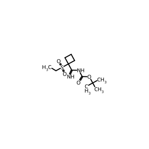 CCS(=O)(=O)C1(C(=N)NC(=O)OC(C)(C)C)CCC1